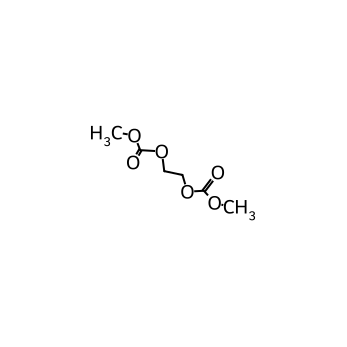 COC(=O)OCCOC(=O)OC